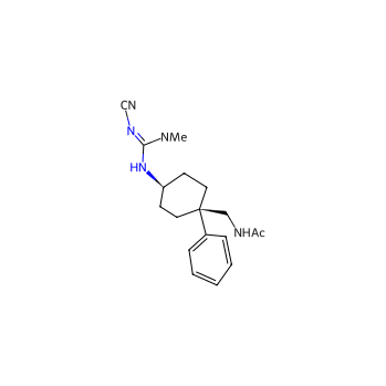 CN/C(=N\C#N)N[C@H]1CC[C@](CNC(C)=O)(c2ccccc2)CC1